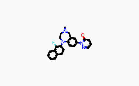 CN1CCN(c2ccc3ccccc3c2F)c2ccc(-n3ncccc3=O)cc2C1